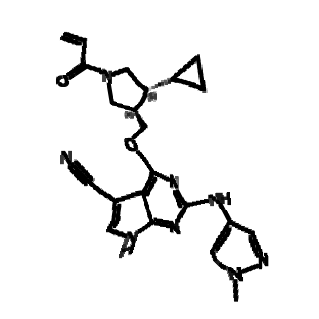 C=CC(=O)N1C[C@H](COc2nc(Nc3cnn(C)c3)nc3[nH]cc(C#N)c23)[C@@H](C2CC2)C1